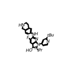 CC(C)N1C(O)c2cc(F)c(Nc3ccc4c(c3)CCNC4)nc2N1c1ccnc(C(C)(C)C)c1